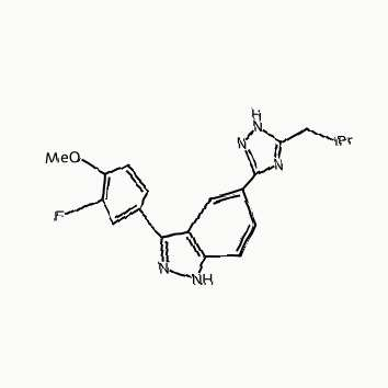 COc1ccc(-c2n[nH]c3ccc(-c4n[nH]c(CC(C)C)n4)cc23)cc1F